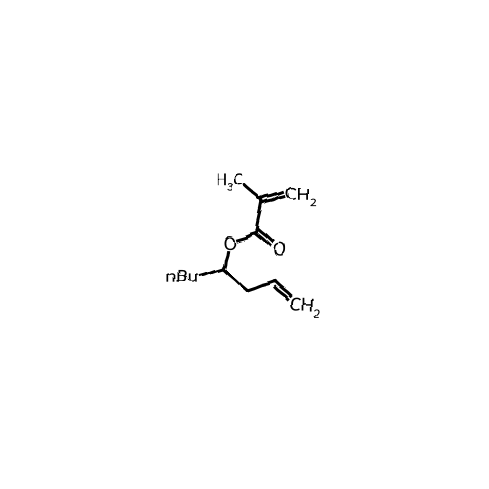 C=CCC(CCCC)OC(=O)C(=C)C